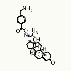 C/C(=N\OC(=O)c1ccc(CN)cc1)[C@H]1CC[C@H]2[C@@H]3CCC4=CC(=O)CC[C@]4(C)[C@H]3CC[C@]12C